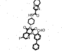 O=Cc1ccc(-c2ccccc2)cc1-n1c(=O)n([C@H]2CC[C@@H](NC(=O)c3cn4c(n3)CCCC4)CC2)c(=O)c2cc(F)cnc21